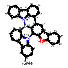 CSc1ccc2c(c1)c1cccc3c1n2-c1c2c(cc4c1oc1ccccc14)-c1cccc4c5ccccc5n(c14)B23